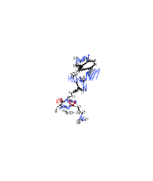 CCCNc1nc(Nc2ccc3nn(C)cc3c2)ncc1C#CCCCNC(=O)[C@H](C)N(C)C(=O)/C=C/CN(C)C